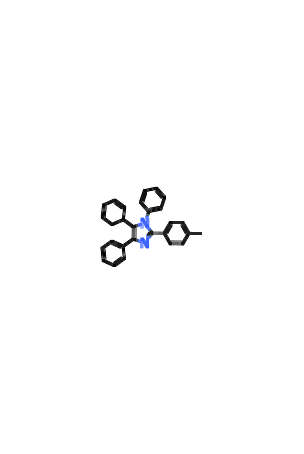 Cc1ccc(-c2nc(-c3ccccc3)c(C3C=CC=CC3)n2-c2ccccc2)cc1